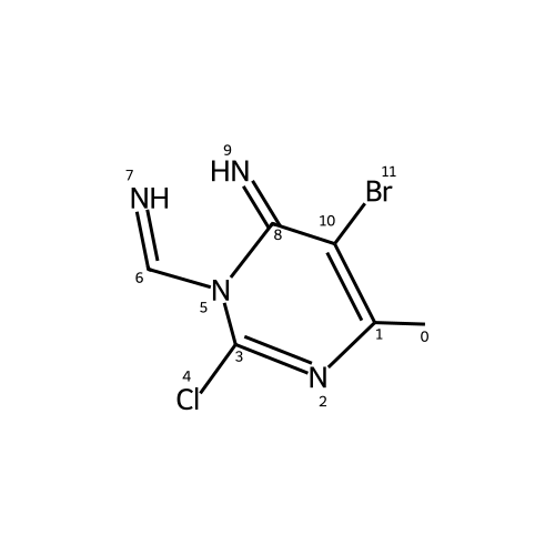 Cc1nc(Cl)n(C=N)c(=N)c1Br